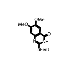 CCCCCc1nc2cc(OC)c(OC)cc2c(=O)[nH]1